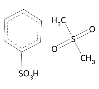 CS(C)(=O)=O.O=S(=O)(O)c1ccccc1